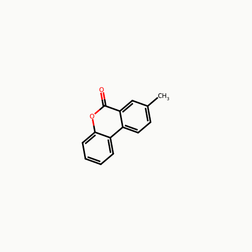 Cc1ccc2c(c1)c(=O)oc1ccccc12